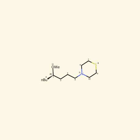 CCCC[C@H](CCCN1CCSCC1)OC